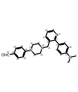 CN(C)c1ccc(-c2ncccc2CN2CCN(c3ccc(C=O)cc3)CC2)cc1